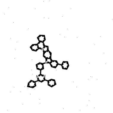 c1ccc(-c2ccc3c(c2)c2cc4cc5c6ccccc6c6ccccc6n5c4cc2n3-c2cccc(-c3nc(-c4ccccc4)cc(-c4ccccc4)n3)c2)cc1